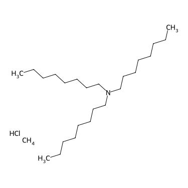 C.CCCCCCCCN(CCCCCCCC)CCCCCCCC.Cl